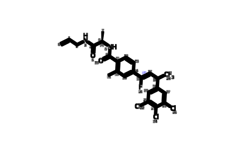 C=CCNC(=O)[C@@H](C)NC(=O)c1ccc(/C(F)=C/C(c2cc(Cl)c(Cl)c(Cl)c2)C(F)(F)F)cc1C